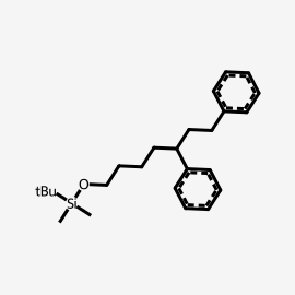 CC(C)(C)[Si](C)(C)OCCCCC(CCc1ccccc1)c1ccccc1